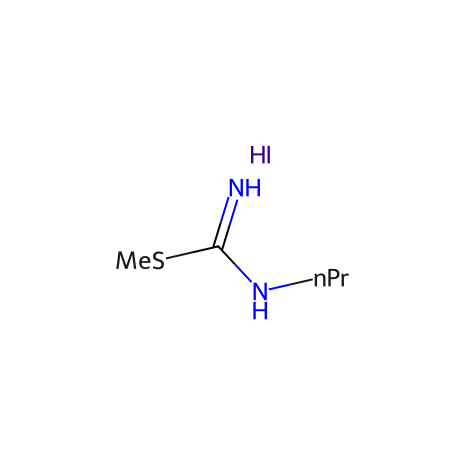 CCCNC(=N)SC.I